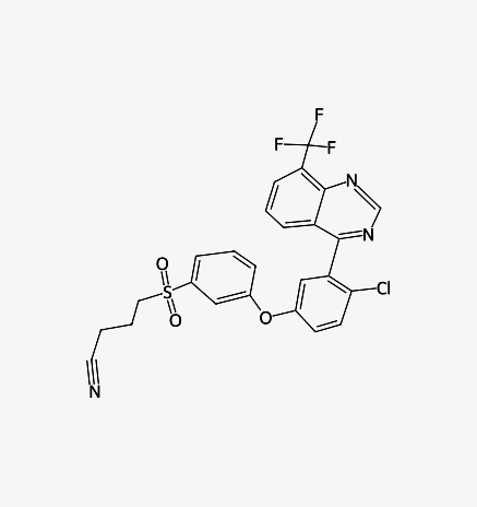 N#CCCCS(=O)(=O)c1cccc(Oc2ccc(Cl)c(-c3ncnc4c(C(F)(F)F)cccc34)c2)c1